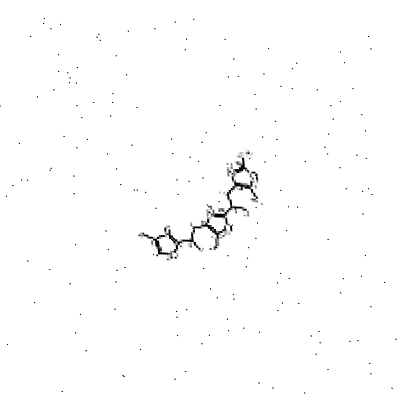 Cc1coc(C(C)Cc2nc(C(C)Cc3nc(C(C)C)oc3C)oc2C)n1